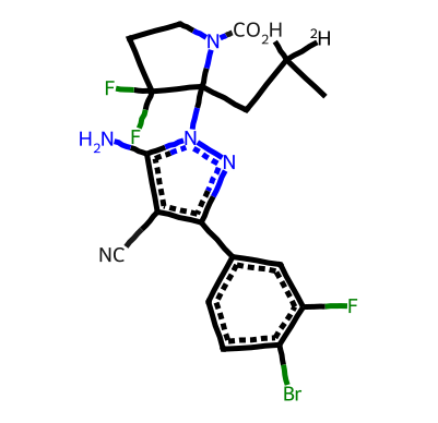 [2H]C(C)(C)CC1(n2nc(-c3ccc(Br)c(F)c3)c(C#N)c2N)N(C(=O)O)CCC1(F)F